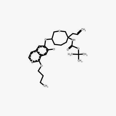 C=CCC1(NC(=O)OC(C)(C)C)CCCC(Oc2cc3ccnc(OCCCC)c3cc2Cl)CCC1